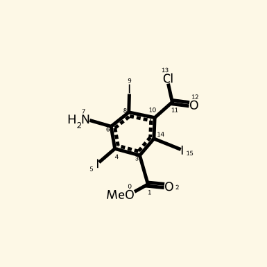 COC(=O)c1c(I)c(N)c(I)c(C(=O)Cl)c1I